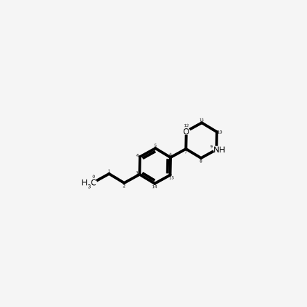 CCCc1ccc(C2CNCCO2)cc1